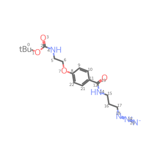 CC(C)(C)OC(=O)NCCOc1ccc(C(=O)NCCCN=[N+]=[N-])cc1